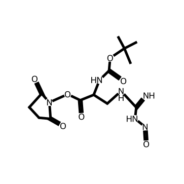 CC(C)(C)OC(=O)NC(CNC(=N)NN=O)C(=O)ON1C(=O)CCC1=O